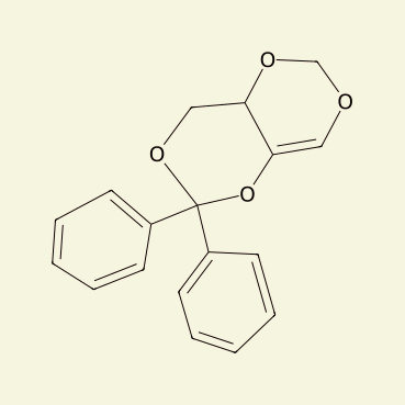 C1=C2OC(c3ccccc3)(c3ccccc3)OCC2OCO1